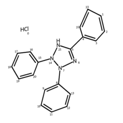 Cl.c1ccc(C2=NN(c3ccccc3)N(c3ccccc3)N2)cc1